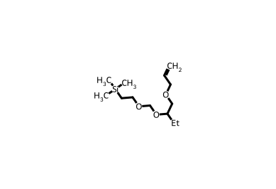 C=CCOCC(CC)OCOCC[Si](C)(C)C